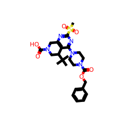 CC(C)(C)C1CN(C(=O)O)Cc2nc(S(C)(=O)=O)nc(N3CCN(C(=O)OCc4ccccc4)CC3)c21